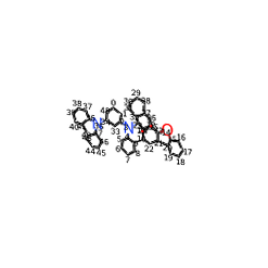 c1cc(N(c2ccccc2-c2ccc3oc4ccccc4c3c2)c2cccc3ccccc23)cc(-n2c3ccccc3c3ccccc32)c1